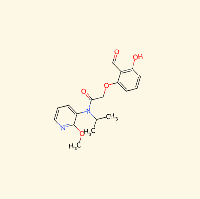 COc1ncccc1N(C(=O)COc1cccc(O)c1C=O)C(C)C